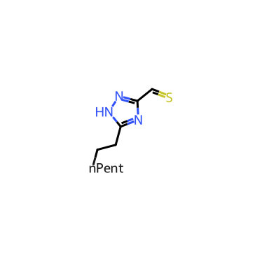 CCCCCCCc1nc(C=S)n[nH]1